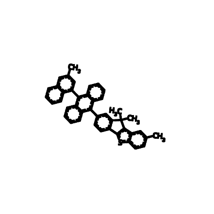 Cc1cc(-c2c3ccccc3c(-c3ccc4c(c3)C(C)(C)c3c-4sc4ccc(C)cc34)c3ccccc23)c2ccccc2c1